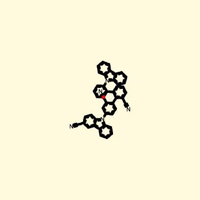 N#Cc1ccc2c(c1)c1ccccc1n2-c1ccc(-c2c(C#N)cccc2-c2ccccc2-n2c3ccccc3c3ccccc32)c(C#N)c1